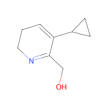 OCC1=NCCC=C1C1CC1